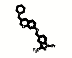 CC(C)n1nc(C(F)(F)F)c2cc(COc3ccc4c(c3)OCC(CN3CCCCC3)=C4)ccc21